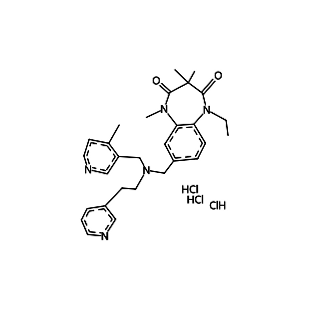 CCN1C(=O)C(C)(C)C(=O)N(C)c2cc(CN(CCc3cccnc3)Cc3cnccc3C)ccc21.Cl.Cl.Cl